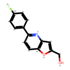 OCc1cc2nc(-c3ccc(F)cc3)ccc2o1